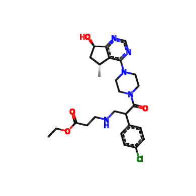 CCOC(=O)CCNCC(C(=O)N1CCN(c2ncnc3c2[C@H](C)C[C@H]3O)CC1)c1ccc(Cl)cc1